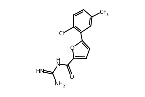 N=C(N)NC(=O)c1ccc(-c2cc(C(F)(F)F)ccc2Cl)o1